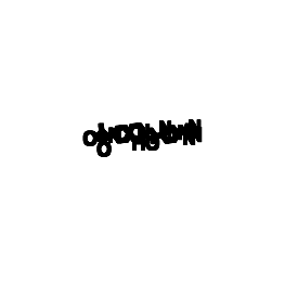 Cc1c(N2CCC3(CCN(CC(O)c4ccc(-n5cnnn5)cn4)CC3)CC2)c(=O)c1=O